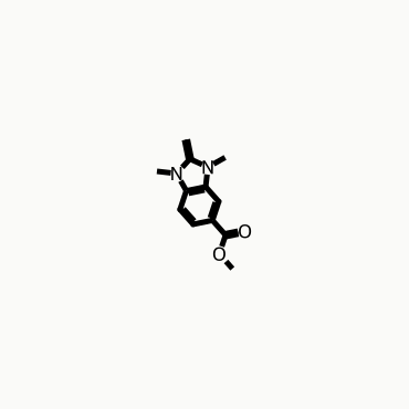 C=C1N(C)c2ccc(C(=O)OC)cc2N1C